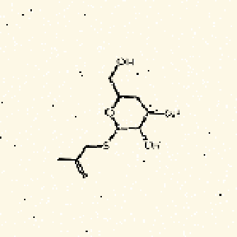 C=C(C)CSC1OC(CO)CC(O)[C@H]1O